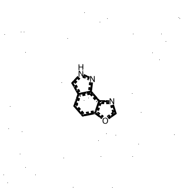 c1nc2c(ccc3c[nH]nc32)o1